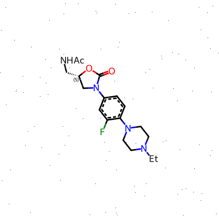 CCN1CCN(c2ccc(N3C[C@H](CNC(C)=O)OC3=O)cc2F)CC1